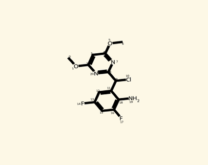 COc1cc(OC)nc(C(Cl)c2cc(F)cc(F)c2N)n1